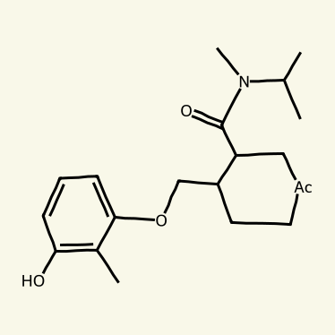 Cc1c(O)cccc1OCC1C[CH2][Ac][CH2]C1C(=O)N(C)C(C)C